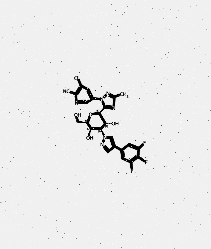 Cc1nc([C@@H]2O[C@H](CO)[C@H](O)[C@H](n3cc(-c4cc(F)c(F)c(F)c4)cn3)[C@H]2O)n(-c2cnc(C#N)c(Cl)c2)n1